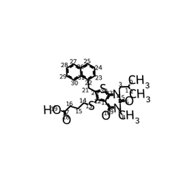 CC(C)Cn1c(=O)n(C)c(=O)c2c(SCCCC(=O)O)c(Cc3cccc4ccccc34)sc21